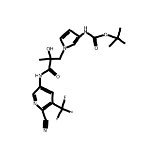 CC(C)(C)OC(=O)Nc1ccn(CC(C)(O)C(=O)Nc2cnc(C#N)c(C(F)(F)F)c2)c1